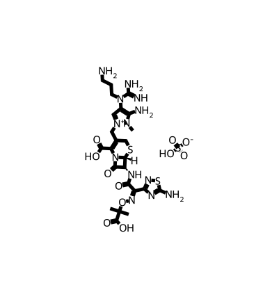 Cn1c(N)c(N(CCCN)C(=N)N)c[n+]1CC1=C(C(=O)O)N2C(=O)[C@@H](NC(=O)/C(=N\OC(C)(C)C(=O)O)c3nsc(N)n3)[C@H]2SC1.O=S(=O)([O-])O